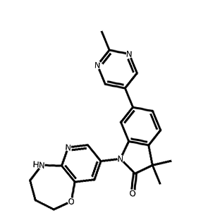 Cc1ncc(-c2ccc3c(c2)N(c2cnc4c(c2)OCCCN4)C(=O)C3(C)C)cn1